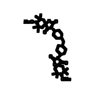 CON1C(C)(C)CC2(CC1(C)C)OC(=O)N(C1CCC(CC3CCC(N4C(=O)OC5(CC(C)(C)N(OC)C(C)(C)C5)C4=O)CC3)CC1)C2=O